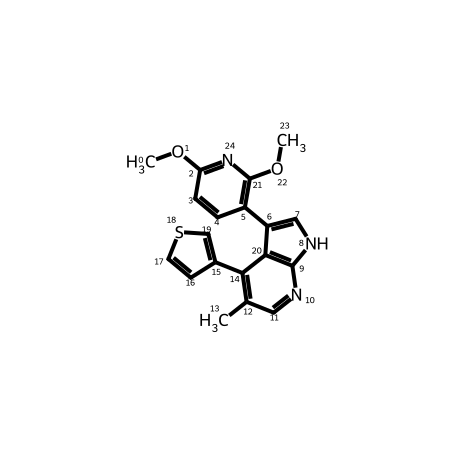 COc1ccc(-c2c[nH]c3ncc(C)c(-c4ccsc4)c23)c(OC)n1